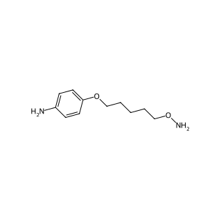 NOCCCCCOc1ccc(N)cc1